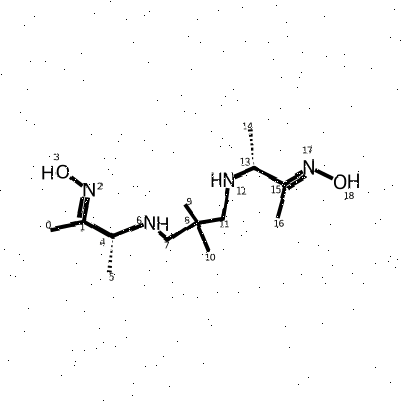 C/C(=N\O)[C@@H](C)NCC(C)(C)CN[C@H](C)/C(C)=N/O